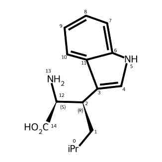 CC(C)C[C@H](c1c[nH]c2ccccc12)[C@H](N)C(=O)O